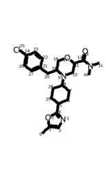 Cc1cnc(C2CCC(N3CC(C(=O)N(C)C)OCC3Cc3ccc(Cl)cc3)CC2)o1